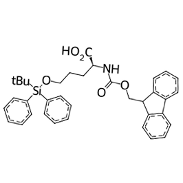 CC(C)(C)[Si](OCCC[C@H](NC(=O)OCC1c2ccccc2-c2ccccc21)C(=O)O)(c1ccccc1)c1ccccc1